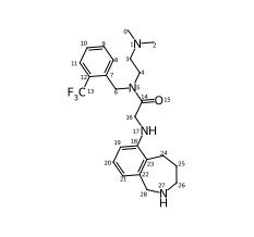 CN(C)CCN(Cc1ccccc1C(F)(F)F)C(=O)CNc1cccc2c1CCCNC2